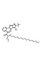 CCCCCCCCCCCCCCCCOC(OCC)C(=O)Nc1ccccc1-c1nn2nc(C(C)(C)C)c(Cl)c2[nH]1